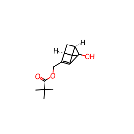 CC(C)(C)C(=O)OCC1=C2C(O)[C@@H]3C[C@H]1C23C